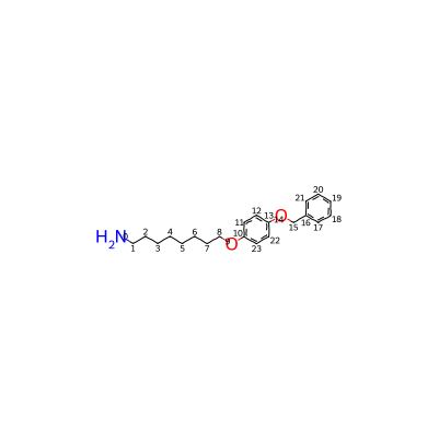 NCCCCCCCCOc1ccc(OCc2ccccc2)cc1